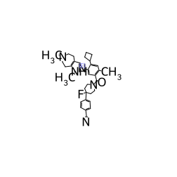 CNC1=C(/C=N/c2cc(C(=O)N3CCC(F)(c4ccc(C#N)cc4)CC3)c(C)cc2C2CCC2)CCN(C)CC1